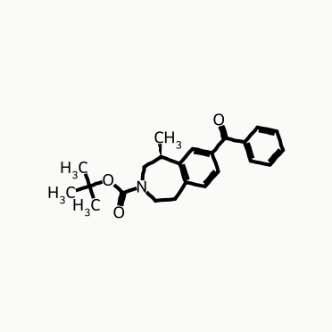 C[C@@H]1CN(C(=O)OC(C)(C)C)CCc2ccc(C(=O)c3ccccc3)cc21